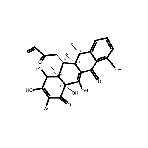 C=CC(=O)C[C@@H]1[C@]2(C)C(=C(O)[C@@]3(O)C(=O)C(C(C)=O)=C(O)C(C(C)C)[C@@]13C)C(=O)c1c(O)cccc1[C@H]2C